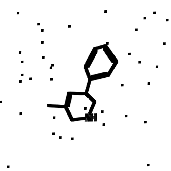 CC1=CC(c2ccccc2)CNC1